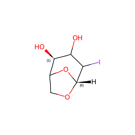 OC1C(I)[C@@H]2OCC(O2)[C@H]1O